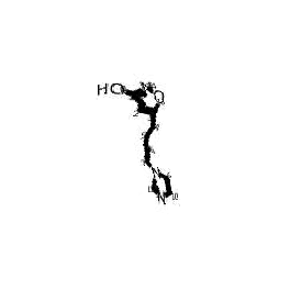 Oc1cc(CCCCn2ccnc2)on1